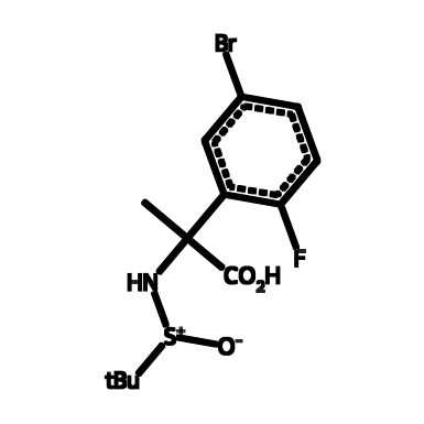 CC(N[S+]([O-])C(C)(C)C)(C(=O)O)c1cc(Br)ccc1F